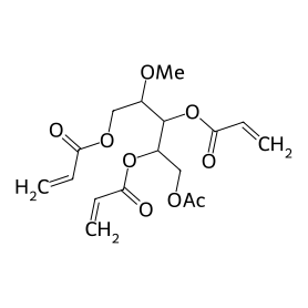 C=CC(=O)OCC(OC)C(OC(=O)C=C)C(COC(C)=O)OC(=O)C=C